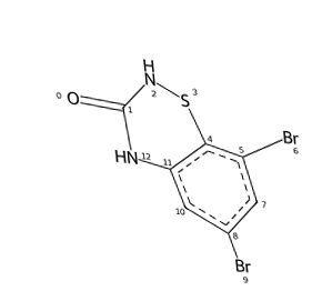 O=C1NSc2c(Br)cc(Br)cc2N1